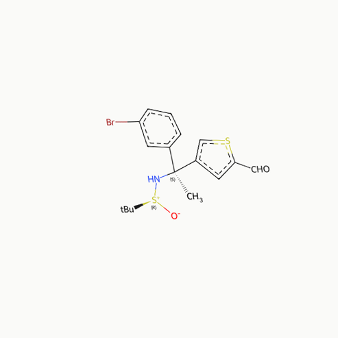 CC(C)(C)[S@+]([O-])N[C@@](C)(c1cccc(Br)c1)c1csc(C=O)c1